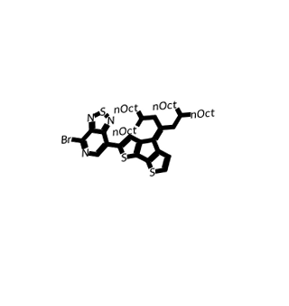 CCCCCCCCC(CCCCCCCC)CC(CC(CCCCCCCC)CCCCCCCC)=C1c2ccsc2-c2sc(-c3cnc(Br)c4nsnc34)cc21